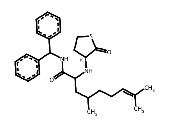 CC(C)=CCCC(C)CC(N[C@H]1CCSC1=O)C(=O)NC(c1ccccc1)c1ccccc1